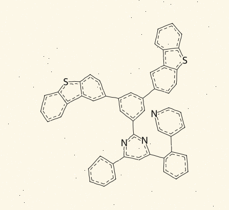 c1ccc(-c2cc(-c3ccccc3-c3cccnc3)nc(-c3cc(-c4ccc5sc6ccccc6c5c4)cc(-c4ccc5sc6ccccc6c5c4)c3)n2)cc1